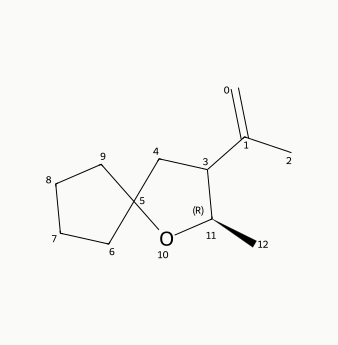 C=C(C)C1CC2(CCCC2)O[C@@H]1C